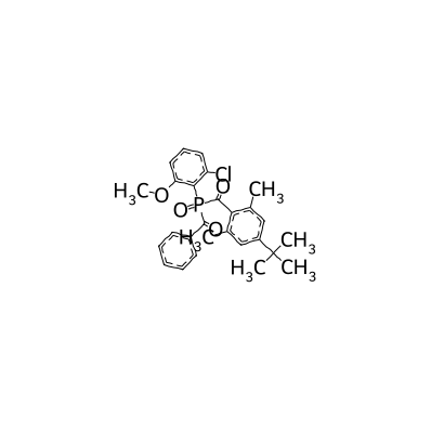 COc1cccc(Cl)c1P(=O)(C(=O)c1ccccc1)C(=O)c1c(C)cc(C(C)(C)C)cc1C